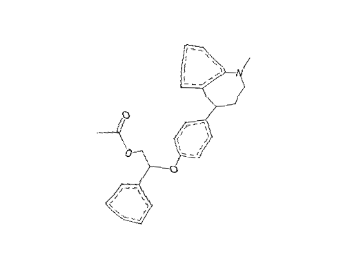 CC(=O)OCC(Oc1ccc(C2CCN(C)c3ccccc32)cc1)c1ccccc1